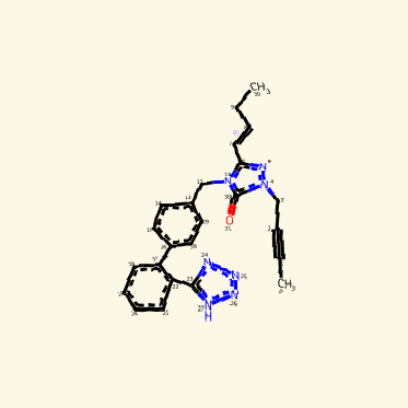 CC#CCn1nc(/C=C/CC)n(Cc2ccc(-c3ccccc3-c3nnn[nH]3)cc2)c1=O